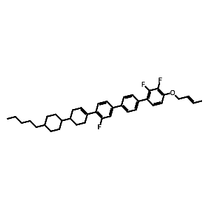 C/C=C/COc1ccc(-c2ccc(-c3ccc(C4=CCC(C5CCC(CCCCC)CC5)CC4)c(F)c3)cc2)c(F)c1F